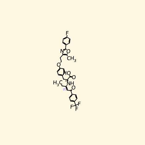 CC/C(=C/C(=O)c1ccc(C(F)(F)F)cc1)N[C@@H](Cc1ccc(OCCc2nc(-c3ccc(F)cc3)oc2C)cc1)C(=O)O